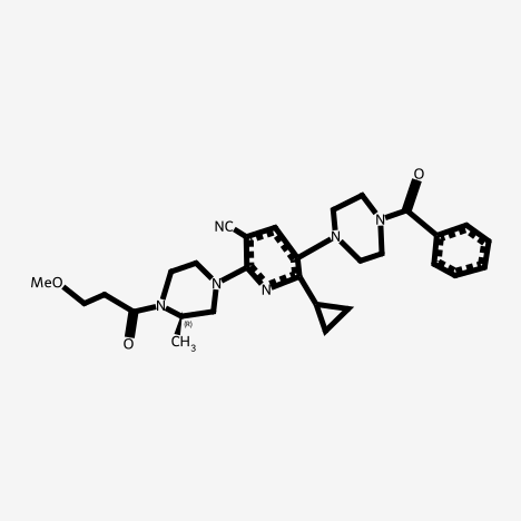 COCCC(=O)N1CCN(c2nc(C3CC3)c(N3CCN(C(=O)c4ccccc4)CC3)cc2C#N)C[C@H]1C